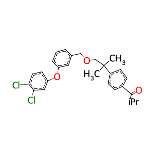 CC(C)C(=O)c1ccc(C(C)(C)COCc2cccc(Oc3ccc(Cl)c(Cl)c3)c2)cc1